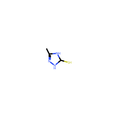 CC1=NNC(S)N1